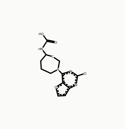 O=C(O)NC1CCCN(c2nc(Cl)nc3ccoc23)CC1